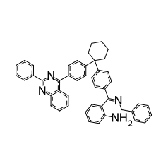 Nc1ccccc1/C(=N\Cc1ccccc1)c1ccc(C2(c3ccc(-c4nc(-c5ccccc5)nc5ccccc45)cc3)CCCCC2)cc1